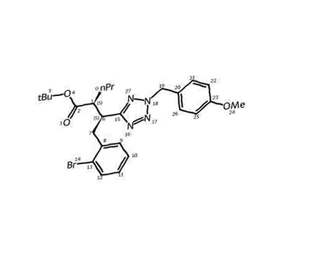 CCC[C@H](C(=O)OC(C)(C)C)[C@H](Cc1ccccc1Br)c1nnn(Cc2ccc(OC)cc2)n1